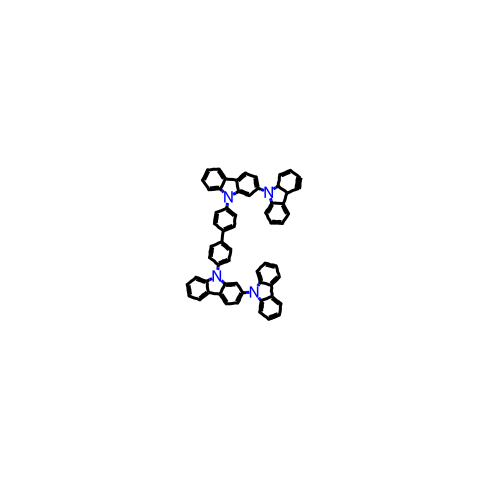 C1#CC2c3ccccc3N(c3ccc4c5ccccc5n(-c5ccc(-c6ccc(-n7c8ccccc8c8ccc(-n9c%10ccccc%10c%10ccccc%109)cc87)cc6)cc5)c4c3)C2C=C1